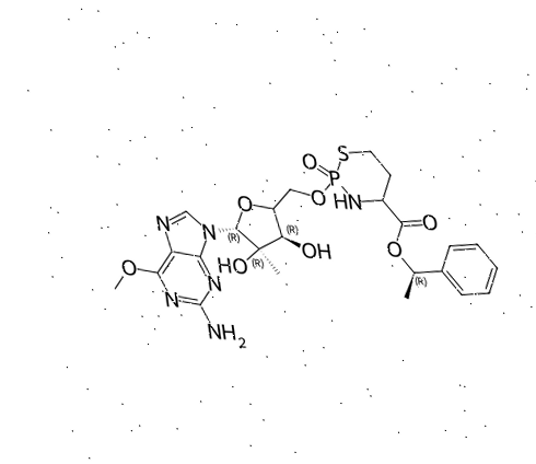 COc1nc(N)nc2c1ncn2[C@@H]1OC(COP2(=O)NC(C(=O)O[C@H](C)c3ccccc3)CCS2)[C@@H](O)[C@@]1(C)O